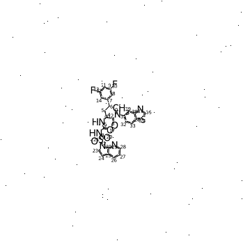 CN(C(=O)[C@H](CCc1cc(F)cc(F)c1)NC(=O)NS(=O)(=O)n1ccc2cccnc21)c1ccc2scnc2c1